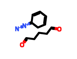 O=CCCCC=O.[N-]=[N+]=C1C=CC=CC1